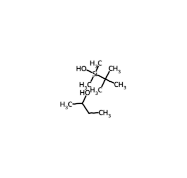 CC(C)(C)[Si](C)(C)O.CCC(C)O